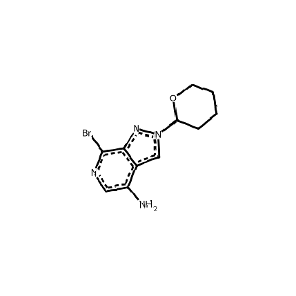 Nc1cnc(Br)c2nn(C3CCCCO3)cc12